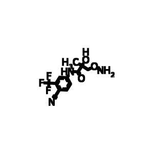 CC(O)(CON)C(=O)Nc1ccc(C#N)c(C(F)(F)F)c1